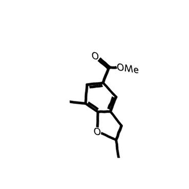 COC(=O)c1cc(C)c2c(c1)CC(C)O2